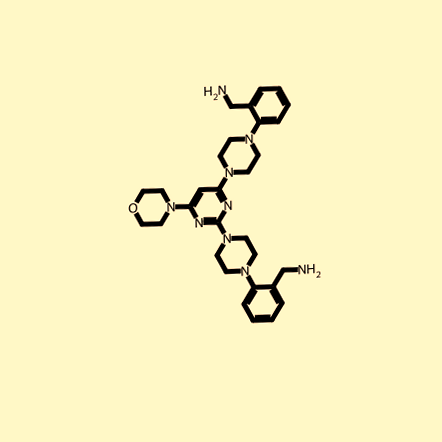 NCc1ccccc1N1CCN(c2cc(N3CCOCC3)nc(N3CCN(c4ccccc4CN)CC3)n2)CC1